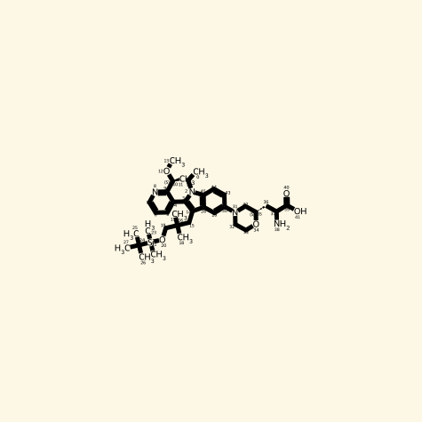 CCn1c(-c2cccnc2[C@H](C)OC)c(CC(C)(C)CO[Si](C)(C)C(C)(C)C)c2cc(N3CCO[C@@H](CC(N)C(=O)O)C3)ccc21